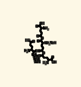 N[C@@H](CCC(=O)O)C(=O)O.N[C@@H](CCC(=O)OC(=O)CC[C@H](N)C(=O)OC(=O)CC[C@H](N)C(=O)O)C(=O)O.[NaH].[NaH].[NaH].[NaH].[NaH]